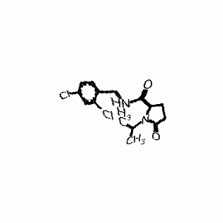 CC(C)N1C(=O)CCC1C(=O)NCc1ccc(Cl)cc1Cl